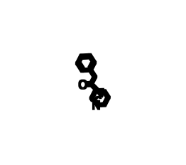 O=C(Cc1ccccc1)C1CN2CCC1CC2